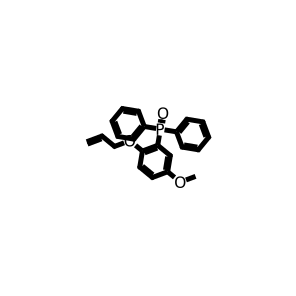 C=CCOc1ccc(OC)cc1P(=O)(c1ccccc1)c1ccccc1